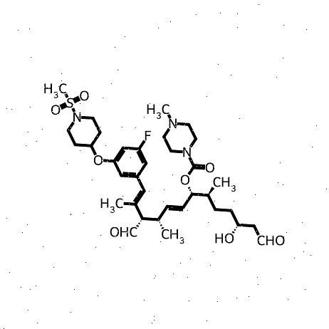 C/C(=C\c1cc(F)cc(OC2CCN(S(C)(=O)=O)CC2)c1)[C@@H](C=O)[C@@H](C)/C=C/[C@H](OC(=O)N1CCN(C)CC1)[C@@H](C)CC[C@@H](O)CC=O